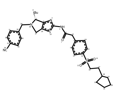 CC(C)(C)[C@@H]1c2nc(NC(=O)Cc3ccc(S(=O)(=O)CCC4CCCC4)cc3)sc2CN1Cc1ccc(C#N)cc1